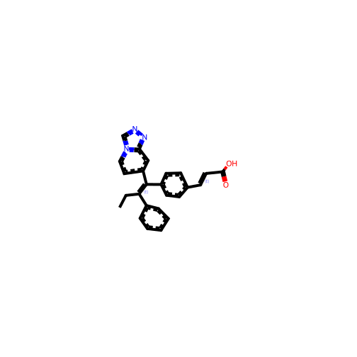 CC/C(=C(/c1ccc(/C=C/C(=O)O)cc1)c1ccn2cnnc2c1)c1ccccc1